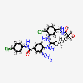 C=C(Nc1ccc(C(=O)Nc2ccc(Br)cc2)cc1N)Nc1cc(CNC(=O)C2(C)COC2)ccc1Cl